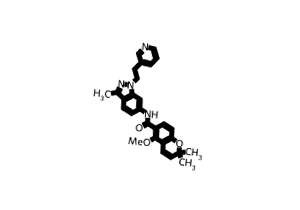 COc1c(C(=O)Nc2ccc3c(C)nn(CCc4cccnc4)c3c2)ccc2c1C=CC(C)(C)O2